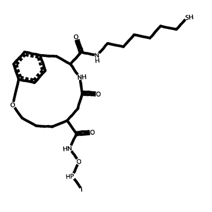 O=C1CC(C(=O)NOPI)CCCOc2ccc(cc2)CC(C(=O)NCCCCCCS)N1